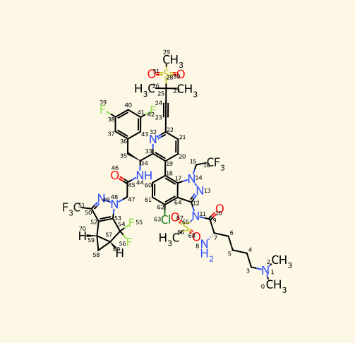 CN(C)CCCC[C@H](N)C(=O)N(c1nn(CC(F)(F)F)c2c(-c3ccc(C#CC(C)(C)S(C)(=O)=O)nc3[C@H](Cc3cc(F)cc(F)c3)NC(=O)Cn3nc(C(F)(F)F)c4c3C(F)(F)[C@@H]3C[C@H]43)ccc(Cl)c12)S(C)(=O)=O